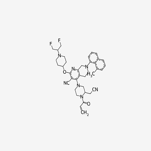 C=CC(=O)N1CCN(c2c(C#N)c(OC3CCN(C(CF)CF)CC3)nc3c2CCN(c2cccc4cccc(C)c24)C3)CC1CC#N